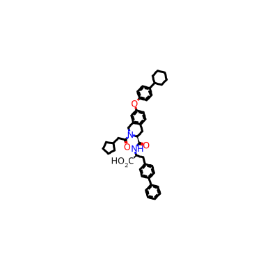 O=C(O)[C@H](Cc1ccc(-c2ccccc2)cc1)NC(=O)[C@@H]1Cc2ccc(Oc3ccc(C4CCCCC4)cc3)cc2CN1C(=O)CC1CCCC1